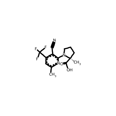 Cc1cc(C(F)(F)F)c(C#N)c(N2CCC[C@@]2(C)C(=O)O)n1